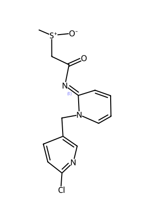 C[S+]([O-])CC(=O)/N=c1\ccccn1Cc1ccc(Cl)nc1